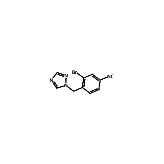 [C-]#[N+]c1ccc(Cn2cncn2)c(Br)c1